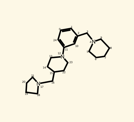 c1cc(CN2CCCCC2)cc(N2CCC(CN3CCCC3)CC2)c1